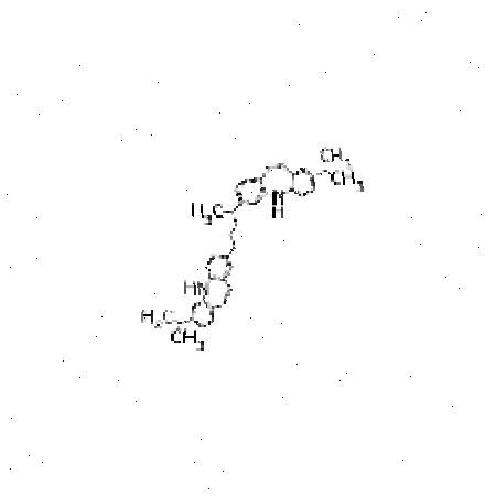 CC(C)c1ccc2c(c1)C=Cc1ccc(C(C)CCCc3ccc4c(c3)C=Cc3ccc(C(C)C)cc3N4)cc1N2